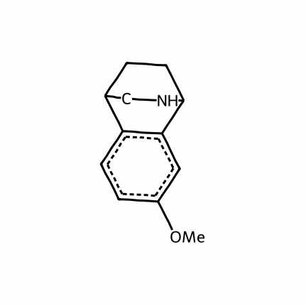 COc1ccc2c(c1)C1CCC2CN1